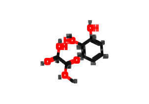 COC(=O)C(=O)O.Oc1ccccc1O